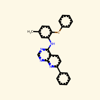 Cc1ccc(Sc2ccccc2)c(Nc2ncnc3nc(-c4ccccc4)ccc23)c1